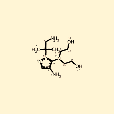 CC(C)(CN)n1ncc(N)c1N(CCO)CCO